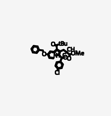 COC(=O)C(C)(C)Cc1c(C(=O)C(C)(C)C)c2cc(OCc3ccccc3)ccn2c1C(=O)c1ccc(Cl)cc1